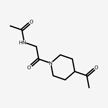 CC(=O)NCC(=O)N1CCC(C(C)=O)CC1